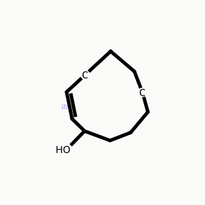 OC1/C=C\CCCCCCC1